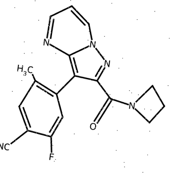 Cc1cc(C#N)c(F)cc1-c1c(C(=O)N2CCC2)nn2cccnc12